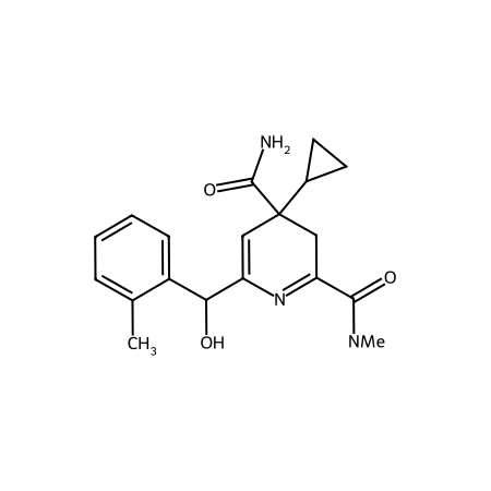 CNC(=O)C1=NC(C(O)c2ccccc2C)=CC(C(N)=O)(C2CC2)C1